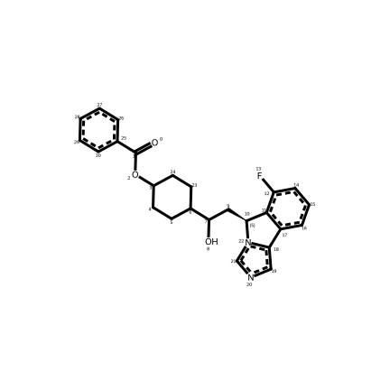 O=C(OC1CCC(C(O)C[C@H]2c3c(F)cccc3-c3cncn32)CC1)c1ccccc1